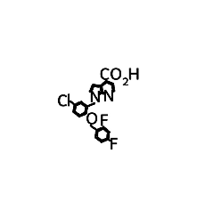 O=C(O)c1ccnc2c1ccn2Cc1cc(Cl)ccc1OCc1ccc(F)cc1F